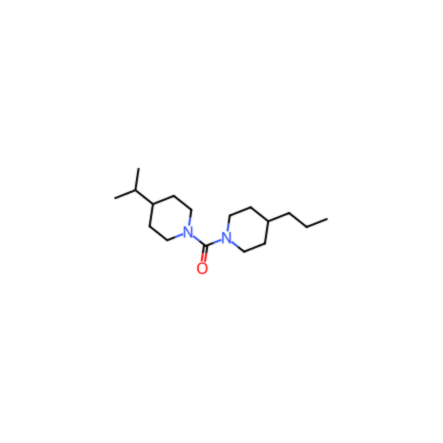 CCCC1CCN(C(=O)N2CCC(C(C)C)CC2)CC1